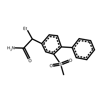 CCC(C(N)=O)c1ccc(-c2ccccc2)c(S(C)(=O)=O)c1